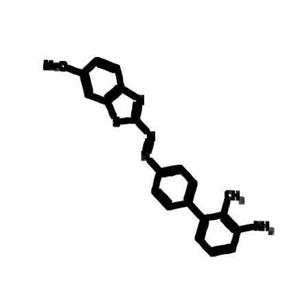 COc1ccc2nc(N=Nc3ccc(-c4cccc(N)c4C)cc3)sc2c1